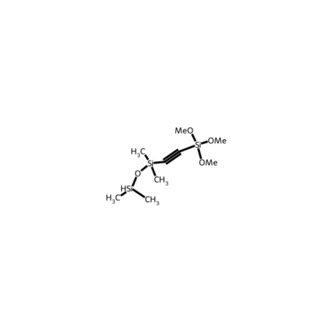 CO[Si](C#C[Si](C)(C)O[SiH](C)C)(OC)OC